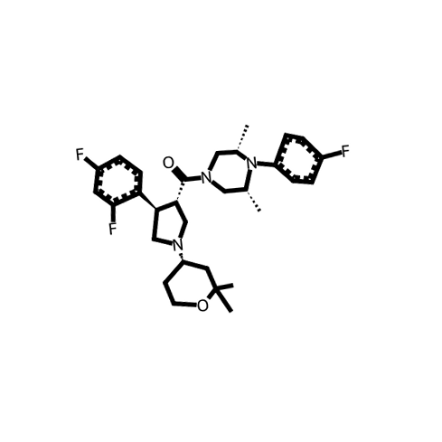 C[C@@H]1CN(C(=O)[C@@H]2CN([C@H]3CCOC(C)(C)C3)C[C@H]2c2ccc(F)cc2F)C[C@H](C)N1c1ccc(F)cc1